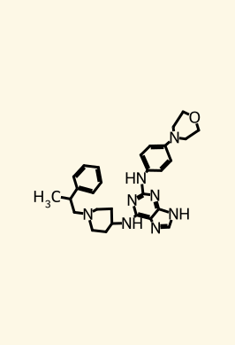 CC(CN1CCC(Nc2nc(Nc3ccc(N4CCOCC4)cc3)nc3[nH]cnc23)CC1)c1ccccc1